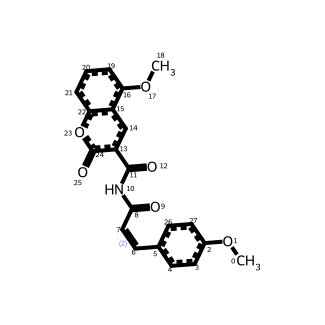 COc1ccc(/C=C\C(=O)NC(=O)c2cc3c(OC)cccc3oc2=O)cc1